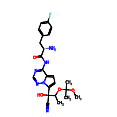 COC(C)(C)OC(C)[C@](O)(C#N)c1ccc2c(NC(=O)[C@@H](N)Cc3ccc(F)cc3)ncnn12